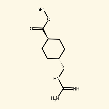 CCCOC(=O)[C@H]1CC[C@H](CNC(=N)N)CC1